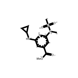 COC(=O)c1cc(NC2CC2)nc(N(C)S(C)(=O)=O)c1